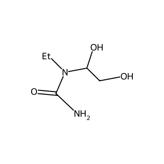 [CH2]CN(C(N)=O)C(O)CO